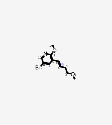 COCC/C=C/c1cc(Br)cnc1OC